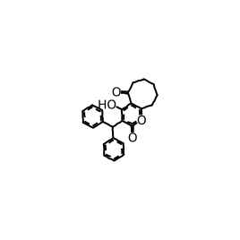 O=C1CCCCCc2oc(=O)c(C(c3ccccc3)c3ccccc3)c(O)c21